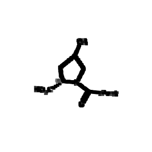 CCCCCC(=O)N1CC(O)C[C@H]1C(=O)O